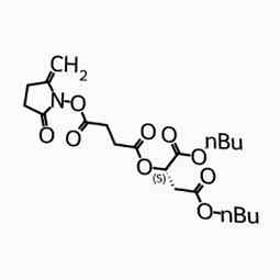 C=C1CCC(=O)N1OC(=O)CCC(=O)O[C@@H](CC(=O)OCCCC)C(=O)OCCCC